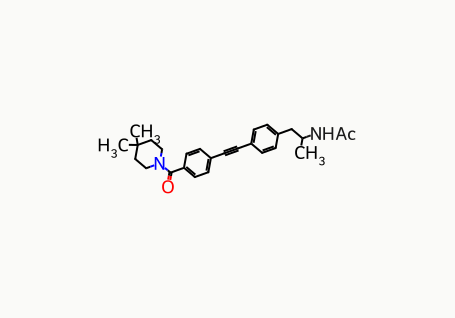 CC(=O)NC(C)Cc1ccc(C#Cc2ccc(C(=O)N3CCC(C)(C)CC3)cc2)cc1